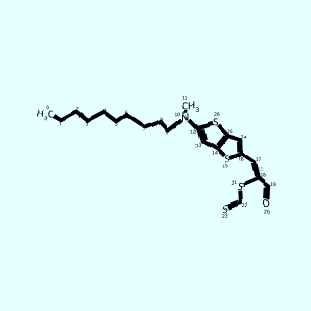 CCCCCCCCCCN(C)c1cc2sc(/C=C(/C=O)SC=S)cc2s1